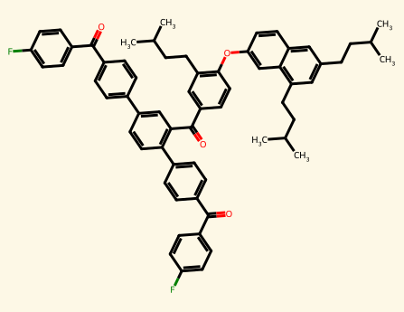 CC(C)CCc1cc(CCC(C)C)c2cc(Oc3ccc(C(=O)c4cc(-c5ccc(C(=O)c6ccc(F)cc6)cc5)ccc4-c4ccc(C(=O)c5ccc(F)cc5)cc4)cc3CCC(C)C)ccc2c1